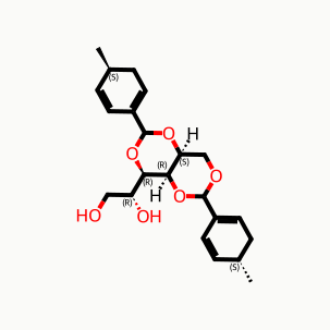 C[C@@H]1C=CC(C2OC[C@@H]3OC(C4=CC[C@H](C)C=C4)O[C@H]([C@H](O)CO)[C@@H]3O2)=CC1